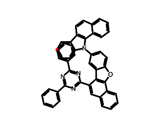 c1ccc(-c2nc(-c3ccccc3)nc(-c3cc4ccccc4c4oc5ccc(-n6c7ccccc7c7ccc8ccccc8c76)cc5c34)n2)cc1